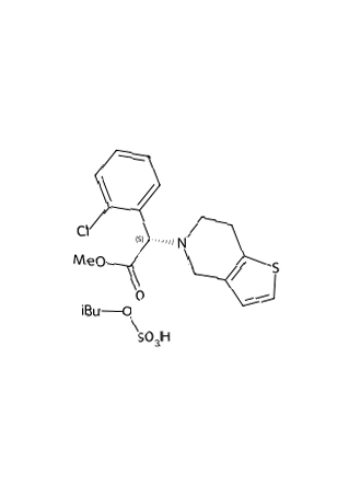 CCC(C)OS(=O)(=O)O.COC(=O)[C@H](c1ccccc1Cl)N1CCc2sccc2C1